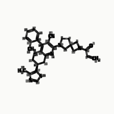 C=CC(=O)N1CC2(CCN(c3nc4c(c(-c5ccccc5C)c3C#N)CC[C@H](c3scnc3C)C4)C2)C1